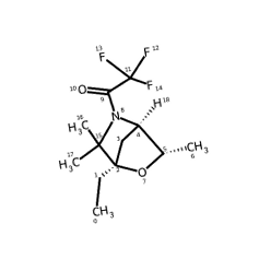 CC[C@]12C[C@H]([C@H](C)O1)N(C(=O)C(F)(F)F)C2(C)C